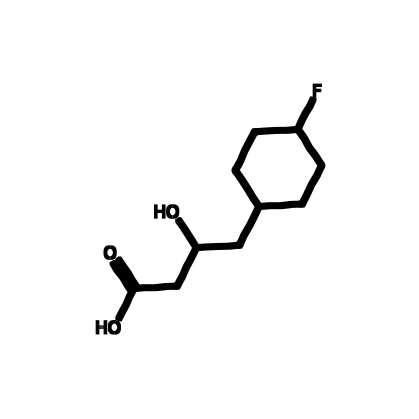 O=C(O)CC(O)CC1CCC(F)CC1